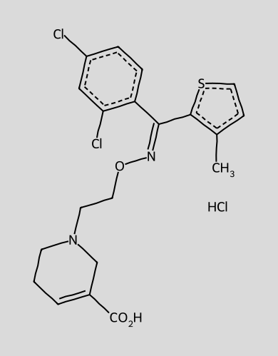 Cc1ccsc1/C(=N/OCCN1CCC=C(C(=O)O)C1)c1ccc(Cl)cc1Cl.Cl